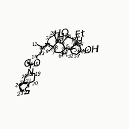 CC[C@H]1[C@@H](O)C2[C@H](CC[C@]3(C)[C@@H]([C@H](C)CCOC(=O)N4CCc5sccc5C4)CC[C@@H]23)C2(C)CC[C@@H](O)C[C@@H]12